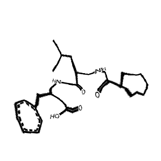 CC(C)CC(NC(=O)C1CCCCC1)C(=O)NC(Cc1ccccc1)C(=O)O